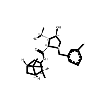 C[C@H](O)[C@H]1[C@@H](C(=O)NC2C[C@H]3C[C@@H]([C@@H]2C)C3(C)C)N(Cc2cccc(I)c2)C[C@@H]1O